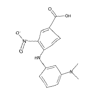 CN(C)c1cccc(Nc2ccc(C(=O)O)cc2[N+](=O)[O-])c1